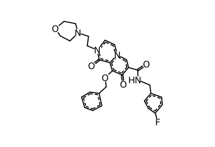 O=C(NCc1ccc(F)cc1)c1cn2ccn(CCN3CCOCC3)c(=O)c2c(OCc2ccccc2)c1=O